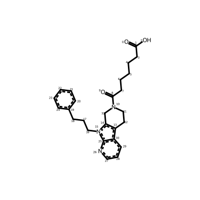 O=C(O)CCCCCC(=O)N1CCc2c(n(CCCc3ccccc3)c3ncccc23)C1